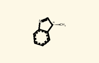 C[C@H]1C=Nc2ccccc21